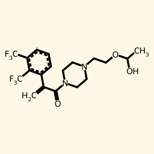 C=C(C(=O)N1CCN(CCOC(C)O)CC1)c1cc[c]c(C(F)(F)F)c1C(F)(F)F